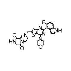 O=C1NCC(=O)N2CCN(Cc3cc4nc(-c5c(F)ccc6[nH]ccc56)nc(N5CCOCC5)c4s3)C=C12